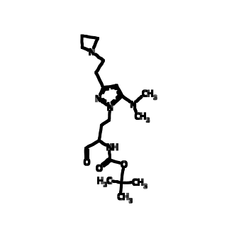 CN(C)c1cc(CCN2CCC2)nn1CCC(C=O)NC(=O)OC(C)(C)C